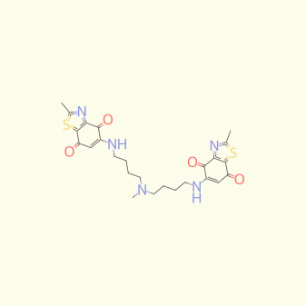 Cc1nc2c(s1)C(=O)C=C(NCCCCN(C)CCCCNC1=CC(=O)c3sc(C)nc3C1=O)C2=O